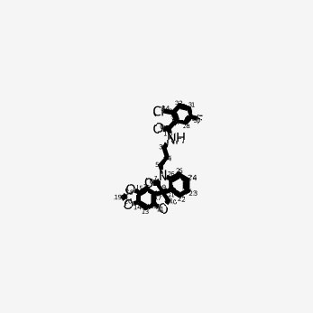 O=C(NCCCN1C(=O)C2(COc3cc4c(cc32)OCO4)c2ccccc21)c1cc(F)ccc1Cl